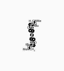 CN[C@@H](C)C(=O)NC(C(=O)N1CCC[C@H]1C(=O)N[C@@H]1CCCc2c1cccc2N1CCN(c2cccc3c2CCC[C@H]3NC(=O)[C@@H]2CCCN2C(=O)[C@@H](NC(=O)[C@H](C)NC)C(C)(C)C)CC1)C(C)(C)C